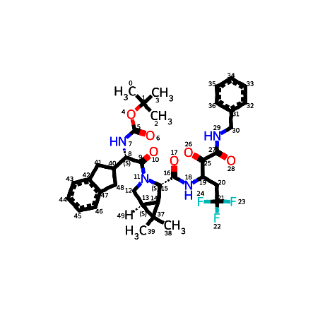 CC(C)(C)OC(=O)N[C@H](C(=O)N1C[C@H]2C([C@H]1C(=O)NC(CC(F)(F)F)C(=O)C(=O)NCc1ccccc1)C2(C)C)C1Cc2ccccc2C1